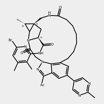 CC(=O)c1nn2c3c(cc(-c4cnc(C)nc4)cc13)CCCCCCC(=O)NC[C@@]13C[C@@H](C(=O)Nc4nc(Br)cc(C)c4C)N(C(=O)C2)C1[C@@H]3C